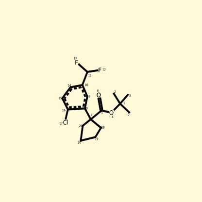 CC(C)(C)OC(=O)C1(c2cc(C(F)F)ccc2Cl)CCCC1